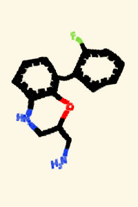 NCC1CNc2cccc(-c3ccccc3F)c2O1